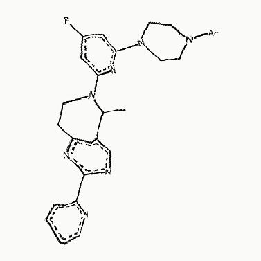 CC(=O)N1CCN(c2cc(F)cc(N3CCc4nc(-c5ccccn5)ncc4C3C)n2)CC1